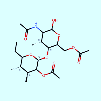 CCC1O[C@@H](O[C@@H]2C(COC(C)=O)OC(O)C(NC(C)=O)[C@H]2C)C(OC(C)=O)[C@@H](C)[C@@H]1C